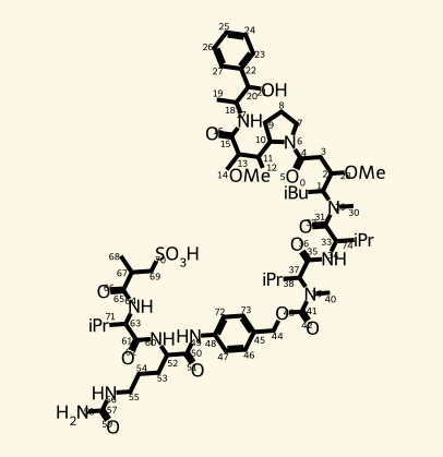 CCC(C)C(C(CC(=O)N1CCCC1C(OC)C(C)C(=O)NC(C)C(O)c1ccccc1)OC)N(C)C(=O)C(NC(=O)C(C(C)C)N(C)C(=O)OCc1ccc(NC(=O)C(CCCNC(N)=O)NC(=O)C(NC(=O)C(C)CS(=O)(=O)O)C(C)C)cc1)C(C)C